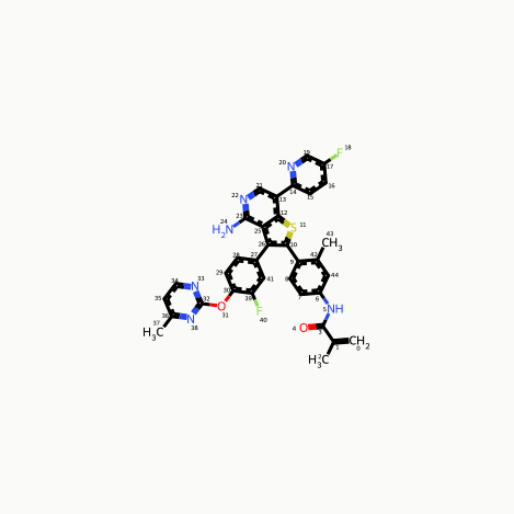 C=C(C)C(=O)Nc1ccc(-c2sc3c(-c4ccc(F)cn4)cnc(N)c3c2-c2ccc(Oc3nccc(C)n3)c(F)c2)c(C)c1